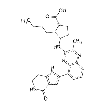 CCCCC1C(Nc2nc3c(-c4cc5c([nH]4)CCNC5=O)cccc3nc2C)CCN1C(=O)O